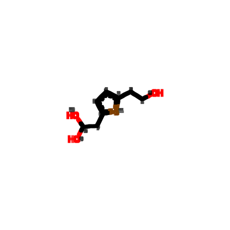 OCCc1ccc(CC(O)O)s1